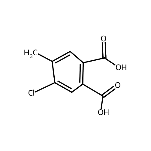 Cc1cc(C(=O)O)c(C(=O)O)cc1Cl